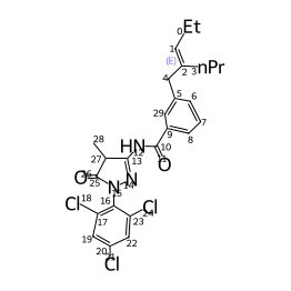 CC/C=C(\CCC)Cc1cccc(C(=O)NC2=NN(c3c(Cl)cc(Cl)cc3Cl)C(=O)C2C)c1